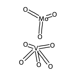 [O]=[Mo](=[O])=[O].[O]=[V](=[O])(=[O])(=[O])=[O]